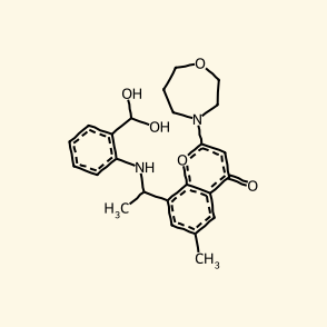 Cc1cc(C(C)Nc2ccccc2C(O)O)c2oc(N3CCCOCC3)cc(=O)c2c1